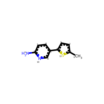 Cc1ccc(-c2ccc(N)nc2)s1